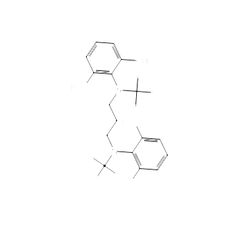 Cc1cccc(C)c1N(CCCN(c1c(C)cccc1C)C(C)(C)C)C(C)(C)C